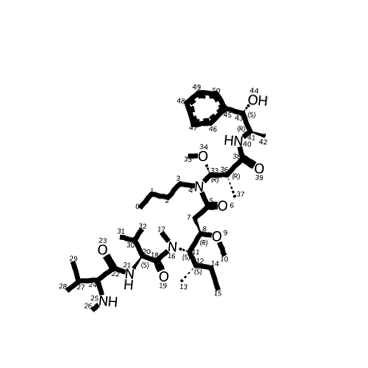 CCCCN(C(=O)C[C@@H](OC)[C@H]([C@@H](C)CC)N(C)C(=O)[C@@H](NC(=O)C(NC)C(C)C)C(C)C)[C@H](OC)[C@@H](C)C(=O)N[C@H](C)[C@@H](O)c1ccccc1